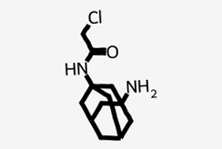 NC12CC3CC(C1)CC(NC(=O)CCl)(C3)C2